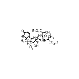 C=C1NC(=O)C=CN1[C@@H]1N[C@](F)(COP(=O)(NC(C)C(=O)OCC)NC(C)C(=O)OCC)[C@@H](O)[C@@]1(C)O